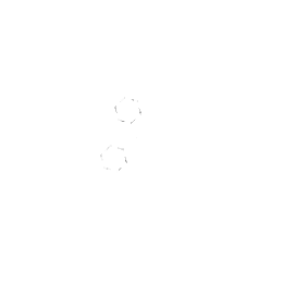 CCCCOP(c1cccc(C)c1)c1cccc(C)c1